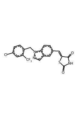 O=C1NC(=O)C(=Cc2ccc3c(cnn3Cc3ccc(Cl)cc3C(F)(F)F)c2)S1